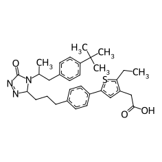 CCc1sc(-c2ccc(CCCC3N=NC(=O)N3C(C)Cc3ccc(C(C)(C)C)cc3)cc2)cc1CC(=O)O